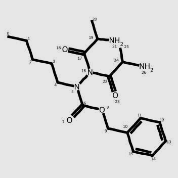 CCCCCN(C(=O)OCc1ccccc1)N(C(=O)C(C)N)C(=O)C(C)N